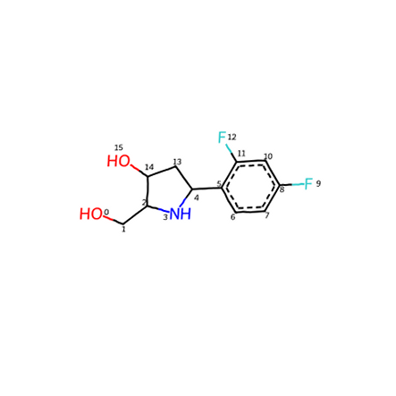 OCC1NC(c2ccc(F)cc2F)CC1O